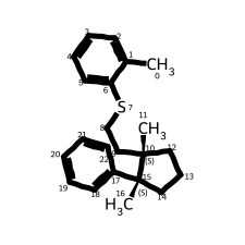 Cc1ccccc1SCC[C@]1(C)CCC[C@]1(C)c1ccccc1